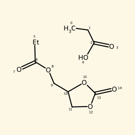 CCC(=O)O.CCC(=O)OCC1COC(=O)O1